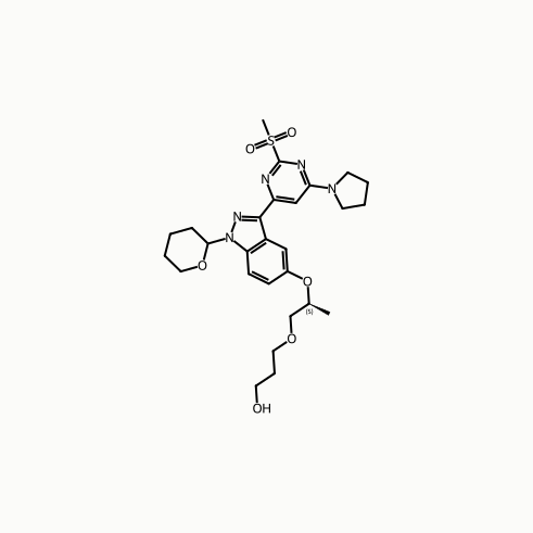 C[C@@H](COCCCO)Oc1ccc2c(c1)c(-c1cc(N3CCCC3)nc(S(C)(=O)=O)n1)nn2C1CCCCO1